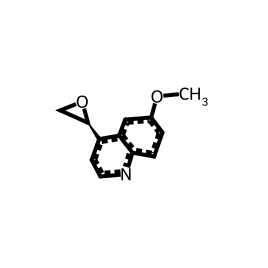 COc1ccc2nccc([C@H]3CO3)c2c1